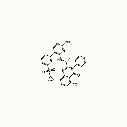 CC(Nc1nc(N)ncc1-c1cccc(S(=O)(=O)C2CC2)c1)c1nc2cccc(Cl)c2c(=O)n1-c1ccccc1